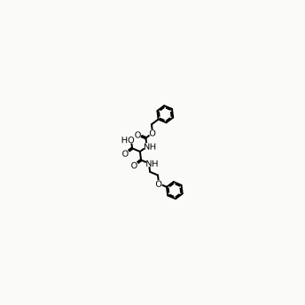 O=C(NC(C(=O)O)C(=O)NCCOc1ccccc1)OCc1ccccc1